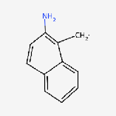 [CH2]c1c(N)ccc2ccccc12